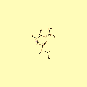 C=C(/C=C(/C)C(C)C=C(C)F)C(C)CC